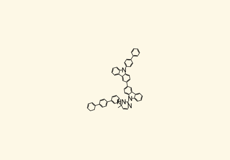 CC1(c2cccc(-c3ccc(C4=CC=CCC4)cc3)c2)C=CN=C(n2c3ccccc3c3cc(-c4ccc5c(c4)c4ccccc4n5-c4ccc(-c5ccccc5)cc4)ccc32)N1